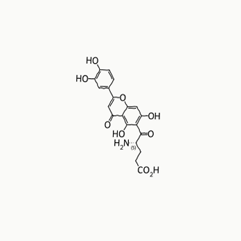 N[C@@H](CCC(=O)O)C(=O)c1c(O)cc2oc(-c3ccc(O)c(O)c3)cc(=O)c2c1O